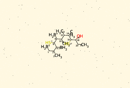 BCC(C)C(B)C(S)C(B)C(C)C(C)C(C)C(S)C(O)CC